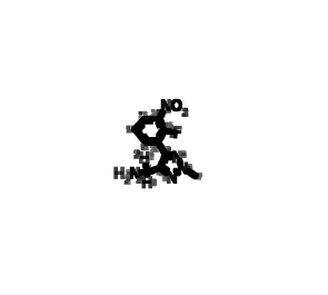 [2H]C([2H])(N)c1nn(C)nc1-c1cccc([N+](=O)[O-])c1F